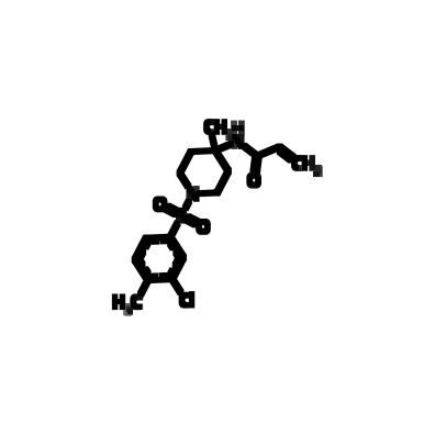 C=CC(=O)NC1(C)CCN(S(=O)(=O)c2ccc(C)c(Cl)c2)CC1